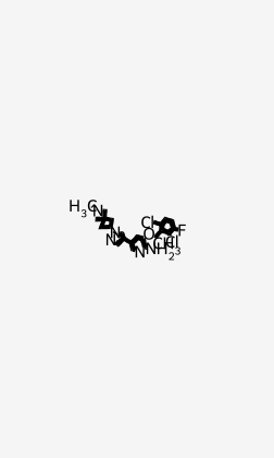 C[C@H](Oc1cc(-c2cnn(C3CC4(C3)CN(C)C4)c2)cnc1N)c1c(Cl)ccc(F)c1Cl